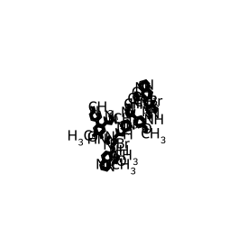 COc1cc(N2CCN3CC(c4nc(Nc5cc(-c6cnn(C)c6)c(C6=CCN(C)CC6)cc5OC)nc(Nc5ccc6nccnc6c5P(C)(C)=O)c4Br)C[C@@H]3C2)c(-c2cnn(C)c2)cc1Nc1ncc(Br)c(Nc2ccc3nccnc3c2P(C)(C)=O)n1